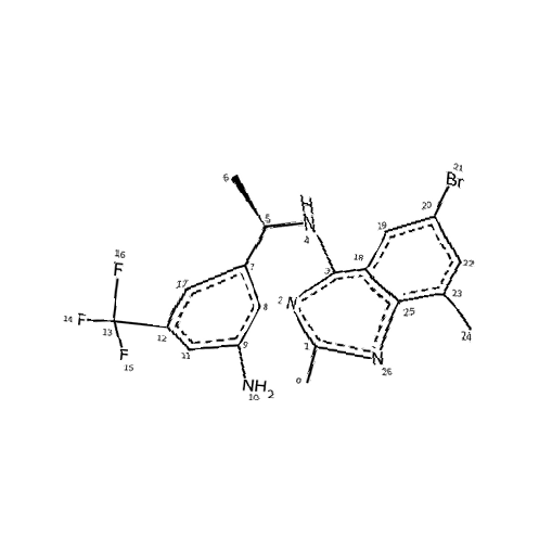 Cc1nc(N[C@H](C)c2cc(N)cc(C(F)(F)F)c2)c2cc(Br)cc(C)c2n1